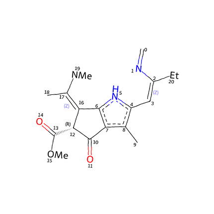 C=N/C(=C\c1[nH]c2c(c1C)C(=O)[C@H](C(=O)OC)/C2=C(\C)NC)CC